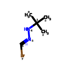 CC(C)(C)N/N=C/Br